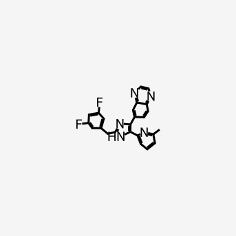 Cc1cccc(-c2[nH]c(Cc3cc(F)cc(F)c3)nc2-c2ccc3nccnc3c2)n1